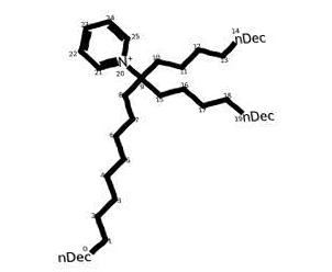 CCCCCCCCCCCCCCCCCCC(CCCCCCCCCCCCCC)(CCCCCCCCCCCCCC)[n+]1ccccc1